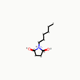 CCCCCC[N+]1C(=O)CCC1=O